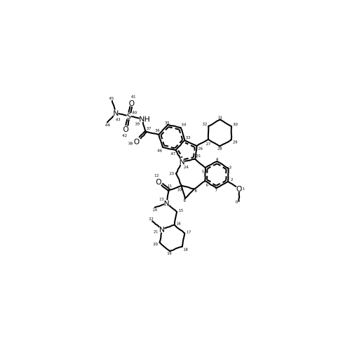 COc1ccc2c(c1)C1CC1(C(=O)N(C)CC1CCCCN1C)Cn1c-2c(C2CCCCC2)c2ccc(C(=O)NS(=O)(=O)N(C)C)cc21